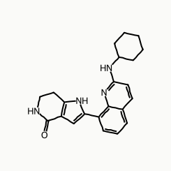 O=C1NCCc2[nH]c(-c3cccc4ccc(NC5CCCCC5)nc34)cc21